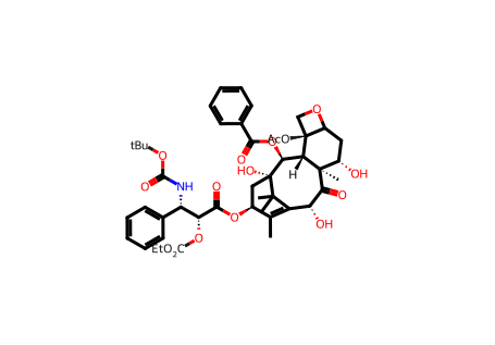 CCOC(=O)O[C@@H](C(=O)O[C@H]1C[C@@]2(O)[C@@H](OC(=O)c3ccccc3)[C@H]3[C@](C)(C(=O)[C@H](O)C(=C1C)C2(C)C)[C@@H](O)CC1OC[C@]13OC(C)=O)[C@@H](NC(=O)OC(C)(C)C)c1ccccc1